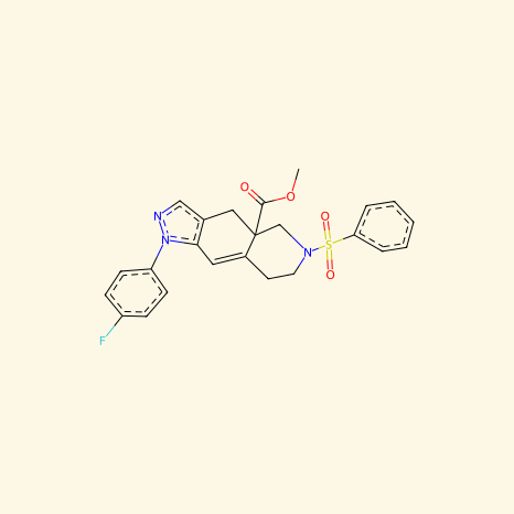 COC(=O)C12Cc3cnn(-c4ccc(F)cc4)c3C=C1CCN(S(=O)(=O)c1ccccc1)C2